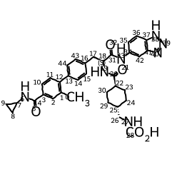 Cc1cc(C(=O)NC2CC2)ccc1-c1ccc(C[C@H](NC(=O)[C@H]2CC[C@H](CNC(=O)O)CC2)C(=O)Nc2ccc3[nH]nnc3c2)cc1